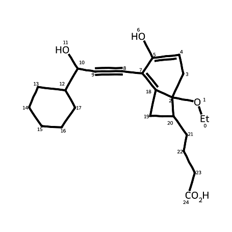 CCOC12CC=C(O)C(C#CC(O)C3CCCCC3)=C1CC2CCCC(=O)O